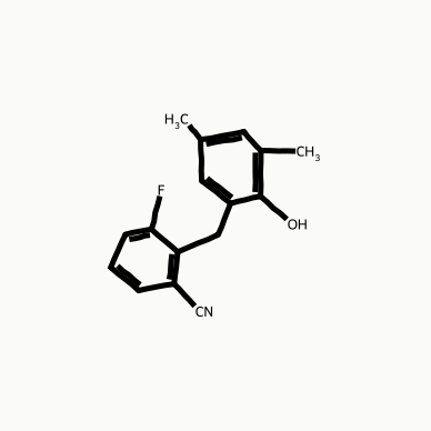 Cc1cc(C)c(O)c(Cc2c(F)cccc2C#N)c1